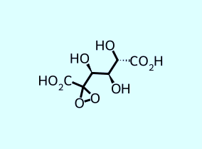 O=C(O)[C@@H](O)[C@@H](O)[C@H](O)C1(C(=O)O)OO1